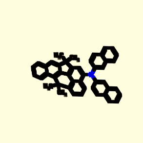 CC1(C)c2cc3ccccc3c3c2-c2c1cc(N(c1ccc4ccccc4c1)c1ccc4ccccc4c1)c1cccc(c21)C3(C)C